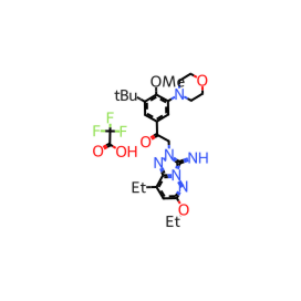 CCOc1cc(CC)c2nn(CC(=O)c3cc(N4CCOCC4)c(OC)c(C(C)(C)C)c3)c(=N)n2n1.O=C(O)C(F)(F)F